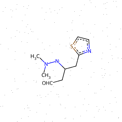 CN(C)[N]C(CC=O)Cc1nccs1